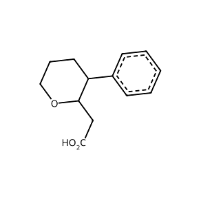 O=C(O)CC1OCCCC1c1ccccc1